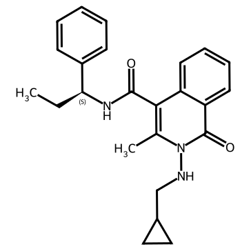 CC[C@H](NC(=O)c1c(C)n(NCC2CC2)c(=O)c2ccccc12)c1ccccc1